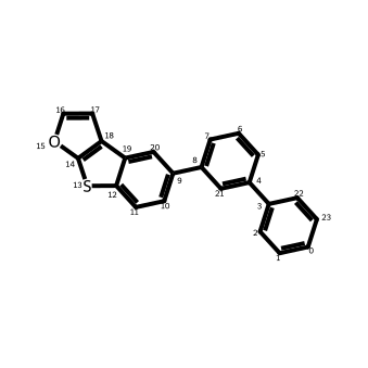 c1ccc(-c2cccc(-c3ccc4sc5occc5c4c3)c2)cc1